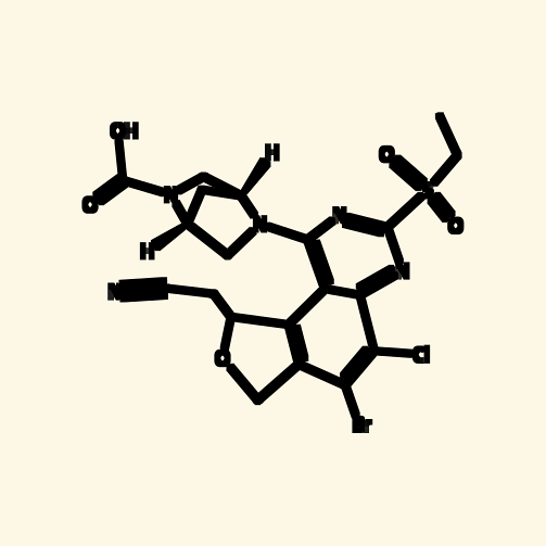 CCS(=O)(=O)c1nc(N2C[C@H]3C[C@@H]2CN3C(=O)O)c2c3c(c(Br)c(Cl)c2n1)COC3CC#N